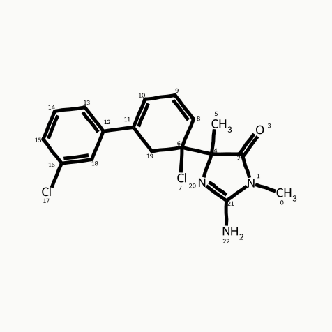 CN1C(=O)C(C)(C2(Cl)C=CC=C(c3cccc(Cl)c3)C2)N=C1N